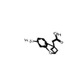 Cc1ccc2c(c1)OC1CC2(CC(=O)O)C1